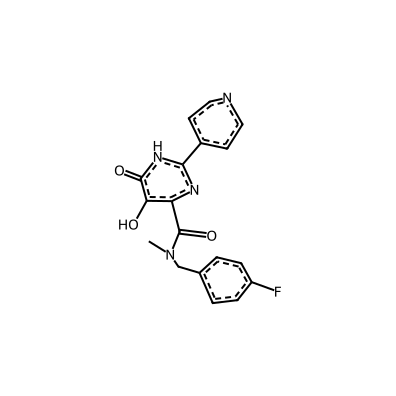 CN(Cc1ccc(F)cc1)C(=O)c1nc(-c2ccncc2)[nH]c(=O)c1O